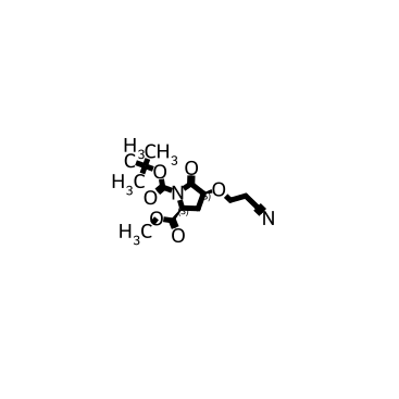 COC(=O)[C@@H]1C[C@H](OCCC#N)C(=O)N1C(=O)OC(C)(C)C